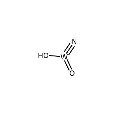 [N]#[W](=[O])[OH]